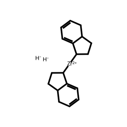 C1=CCC2CC[CH]([Zr+2][CH]3CCC4CC=CC=C43)C2=C1.[H-].[H-]